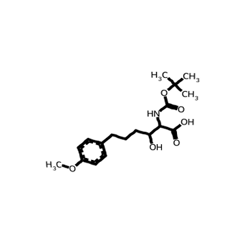 COc1ccc(CCCC(O)C(NC(=O)OC(C)(C)C)C(=O)O)cc1